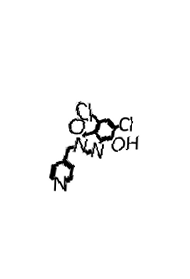 O=c1c2c(Cl)cc(Cl)c(O)c2ncn1Cc1ccncc1